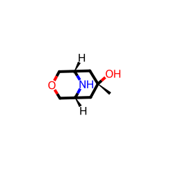 C[C@]1(O)C[C@H]2COC[C@@H](C1)N2